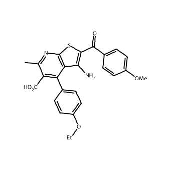 CCOc1ccc(-c2c(C(=O)O)c(C)nc3sc(C(=O)c4ccc(OC)cc4)c(N)c23)cc1